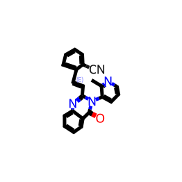 Cc1ncccc1-n1c(/C=C/c2ccccc2C#N)nc2ccccc2c1=O